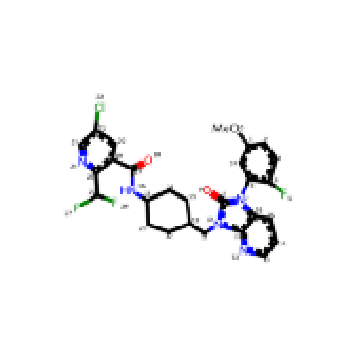 COc1ccc(F)c(-n2c(=O)n(CC3CCC(NC(=O)c4cc(Cl)cnc4C(F)F)CC3)c3ncccc32)c1